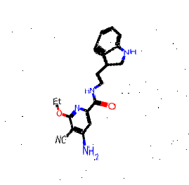 CCOc1nc(C(=O)NCCC2CNc3ccccc32)cc(N)c1C#N